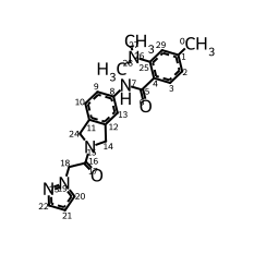 Cc1ccc(C(=O)Nc2ccc3c(c2)CN(C(=O)Cn2cccn2)C3)c(N(C)C)c1